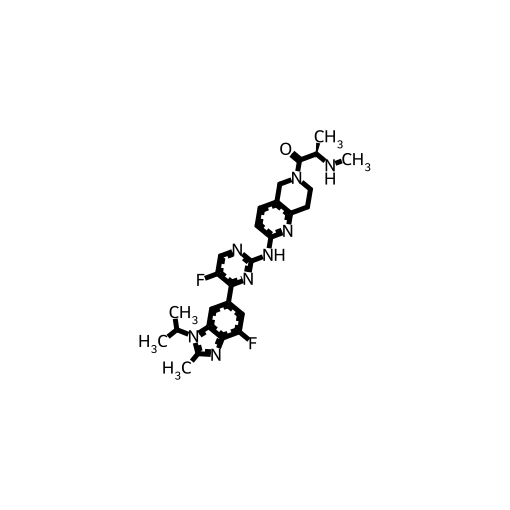 CN[C@H](C)C(=O)N1CCc2nc(Nc3ncc(F)c(-c4cc(F)c5nc(C)n(C(C)C)c5c4)n3)ccc2C1